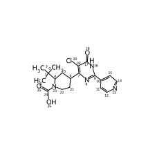 CC(C)(C)C1CC(c2nc(-c3ccncc3)[nH]c(=O)c2Cl)CCN1C(=O)O